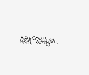 CC(C(=O)NCc1cccc(N(C)C)n1)N1Cc2ccc(B3OC(C)(C)C(C)(C)O3)cc2C1=O